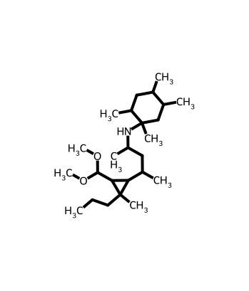 CCCC1(C)C(C(C)CC(C)NC2(C)CC(C)C(C)CC2C)C1C(OC)OC